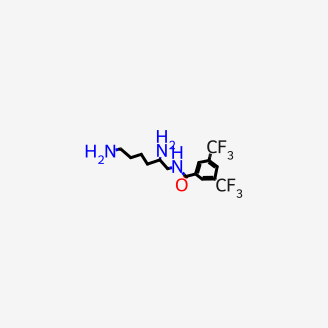 NCCCC[C@@H](N)CNC(=O)c1cc(C(F)(F)F)cc(C(F)(F)F)c1